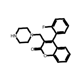 O=c1oc2ccccc2c(-c2ccccc2F)c1CN1CCNCC1